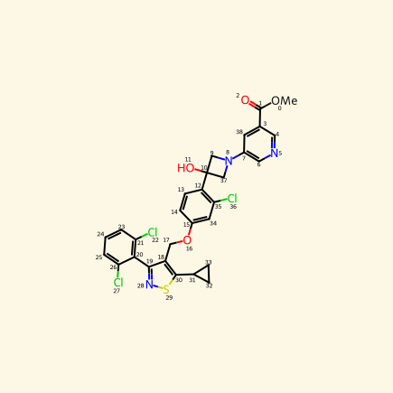 COC(=O)c1cncc(N2CC(O)(c3ccc(OCc4c(-c5c(Cl)cccc5Cl)nsc4C4CC4)cc3Cl)C2)c1